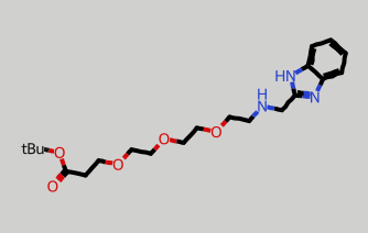 CC(C)(C)OC(=O)CCOCCOCCOCCNCc1nc2ccccc2[nH]1